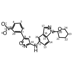 O=[N+]([O-])c1cccc(-c2cc(Nc3ccc4c(cnn4C4CCCCO4)c3)no2)c1